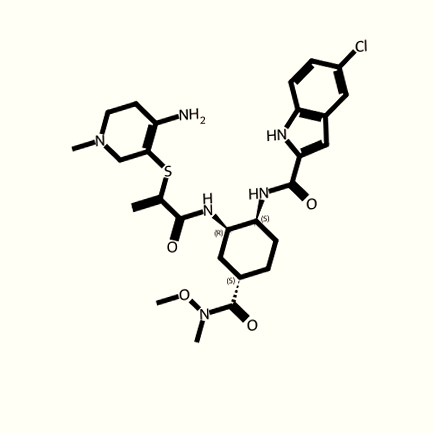 C=C(SC1=C(N)CCN(C)C1)C(=O)N[C@@H]1C[C@@H](C(=O)N(C)OC)CC[C@@H]1NC(=O)c1cc2cc(Cl)ccc2[nH]1